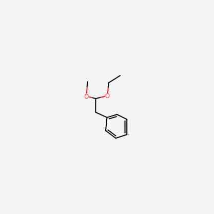 CCOC(Cc1cc[c]cc1)OC